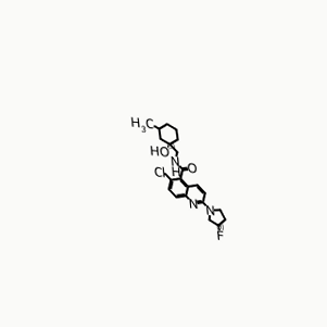 CC1CCC[C@@](O)(CNC(=O)c2c(Cl)ccc3nc(N4CC[C@@H](F)C4)ccc23)C1